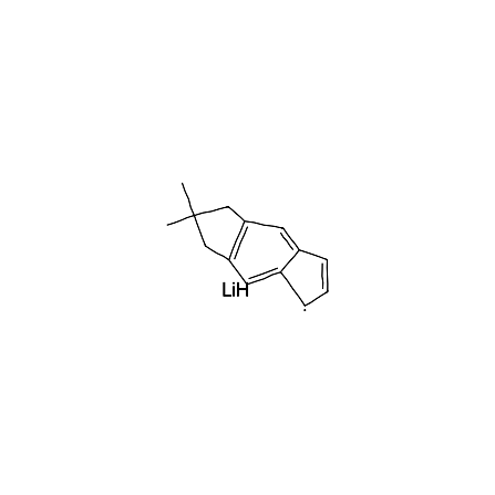 CC1(C)Cc2cc3c(cc2C1)C=C[CH]3.[LiH]